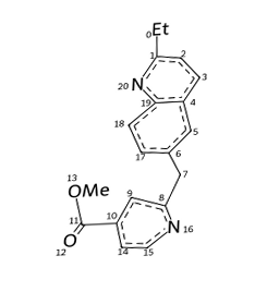 CCc1ccc2cc(Cc3cc(C(=O)OC)ccn3)ccc2n1